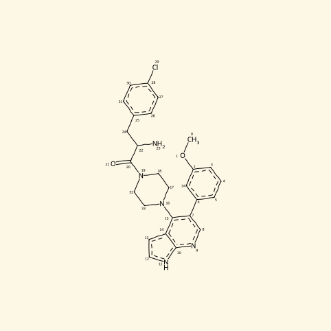 COc1cccc(-c2cnc3[nH]ccc3c2N2CCN(C(=O)C(N)Cc3ccc(Cl)cc3)CC2)c1